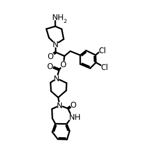 NC1CCN(C(=O)C(Cc2ccc(Cl)c(Cl)c2)OC(=O)N2CCC(N3CCc4ccccc4NC3=O)CC2)CC1